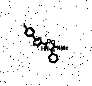 CNC(=O)[C@@H](NC(=O)c1csc(-c2ccc(I)cc2)n1)C1CCCCC1